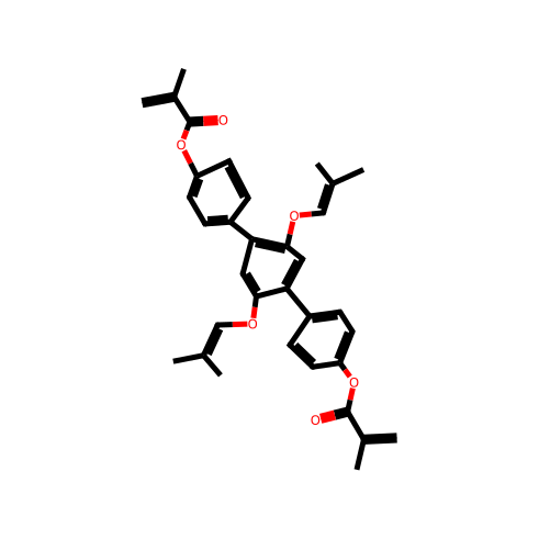 C=C(C)C(=O)Oc1ccc(-c2cc(OC=C(C)C)c(-c3ccc(OC(=O)C(=C)C)cc3)cc2OC=C(C)C)cc1